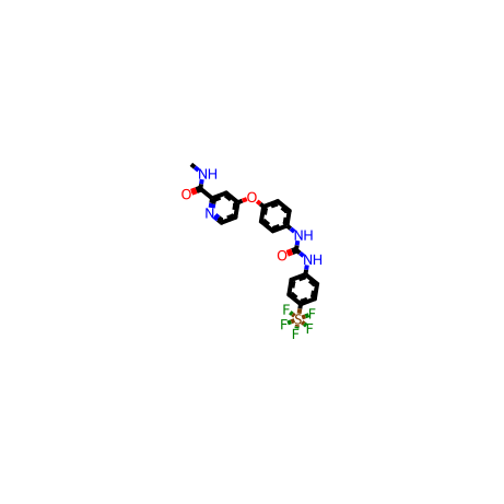 CNC(=O)c1cc(Oc2ccc(NC(=O)Nc3ccc(S(F)(F)(F)(F)F)cc3)cc2)ccn1